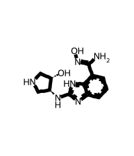 NC(=NO)c1cccc2nc(N[C@@H]3CNC[C@@H]3O)[nH]c12